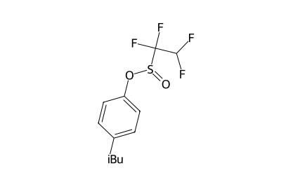 CCC(C)c1ccc(OS(=O)C(F)(F)C(F)F)cc1